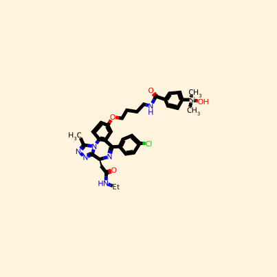 CCNC(=O)C[C@@H]1N=C(c2ccc(Cl)cc2)c2cc(OCCCCNC(=O)c3ccc([Si](C)(C)O)cc3)ccc2-n2c(C)nnc21